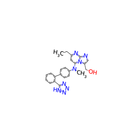 CCc1cc(N(C)c2ccc(-c3ccccc3-c3nnn[nH]3)cc2)n2c(CO)cnc2n1